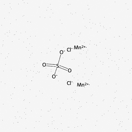 O=S(=O)([O-])[O-].[Cl-].[Cl-].[Mn+2].[Mn+2]